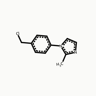 Cc1nccn1-c1ccc(CCl)cc1